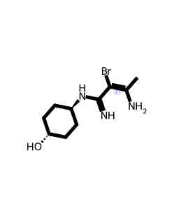 C/C(N)=C(\Br)C(=N)N[C@H]1CC[C@H](O)CC1